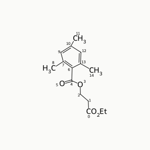 CCOC(=O)CCOC(=O)c1c(C)cc(C)cc1C